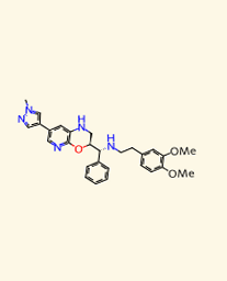 COc1ccc(CCN[C@H](c2ccccc2)[C@@H]2CNc3cc(-c4cnn(C)c4)cnc3O2)cc1OC